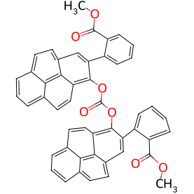 COC(=O)c1ccccc1-c1cc2ccc3cccc4ccc(c1OC(=O)Oc1c(-c5ccccc5C(=O)OC)cc5ccc6cccc7ccc1c5c67)c2c34